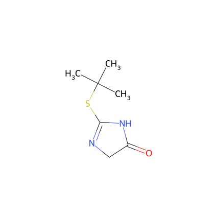 CC(C)(C)SC1=NCC(=O)N1